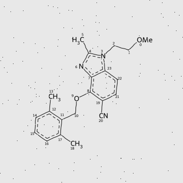 COCCn1c(C)nc2c(OCc3c(C)cccc3C)c(C#N)ccc21